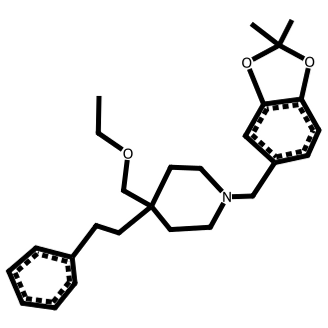 CCOCC1(CCc2ccccc2)CCN(Cc2ccc3c(c2)OC(C)(C)O3)CC1